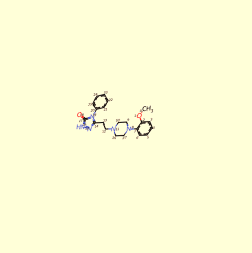 COc1ccccc1N1CCN(CCc2n[nH]c(=O)n2-c2ccccc2)CC1